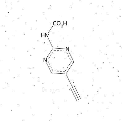 C#Cc1cnc(NC(=O)O)nc1